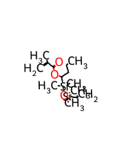 C=C[Si](C)(C)O[Si](C)(C)C(CCC)OC(=O)C(=C)C